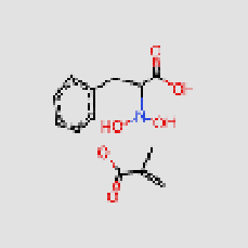 C=C(C)C(=O)O.O=C(O)C(Cc1ccccc1)N(O)O